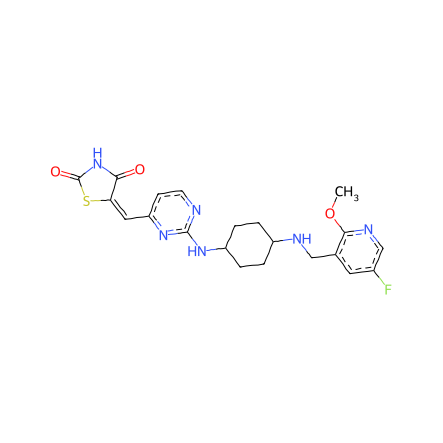 COc1ncc(F)cc1CNC1CCC(Nc2nccc(/C=C3/SC(=O)NC3=O)n2)CC1